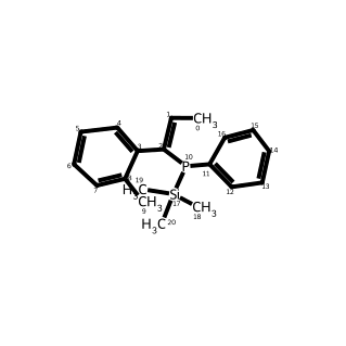 C/C=C(/c1ccccc1C)P(c1ccccc1)[Si](C)(C)C